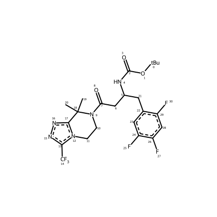 CC(C)(C)OC(=O)NC(CC(=O)N1CCn2c(C(F)(F)F)nnc2C1(C)C)Cc1cc(F)c(F)cc1F